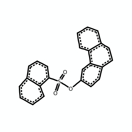 O=S(=O)(Oc1ccc2ccc3ccccc3c2c1)c1cccc2ccccc12